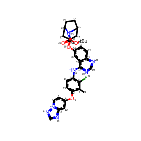 Cc1c(Oc2ccn3ncnc3c2)ccc(Nc2ncnc3ccc(OC4CC5CCC(C4)N5C(=O)OC(C)(C)C)cc23)c1F